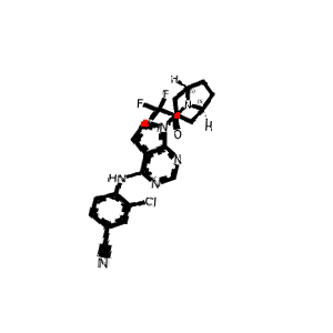 N#Cc1ccc(Nc2ncnc3c2ccn3C2C[C@@H]3CC[C@@H](C2)N3C(=O)C(F)(F)F)c(Cl)c1